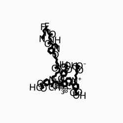 CC1(C)C(=CC=C2CCCC(C=CC3=[N+](CCCCS(=O)(=O)[O-])c4ccc(S(=O)(=O)O)cc4C3(C)C)=C2Oc2ccc(S(=O)(=O)O)cc2)N(CCCCCC(=O)NCCCOc2cccc3c(C(=O)NCC(=O)N4CC(F)(F)CC4C#N)ccnc23)c2ccc(S(=O)(=O)O)cc21